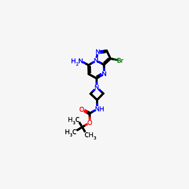 CC(C)(C)OC(=O)NC1CN(c2cc(N)n3ncc(Br)c3n2)C1